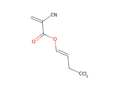 C=C(C#N)C(=O)OC=CCC(Cl)(Cl)Cl